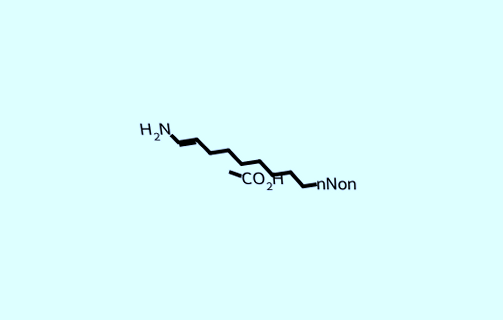 CC(=O)O.CCCCCCCCCCCCCCCCC=CN